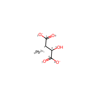 O=C([O-])CC(O)C(=O)[O-].[Pb+2]